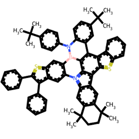 CC(C)(C)c1ccc(N2B3c4cc5sc(-c6ccccc6)c(-c6ccccc6)c5cc4-n4c5cc6c(cc5c5c7sc8ccccc8c7c(c3c54)-c3cc(C(C)(C)C)ccc32)C(C)(C)CCC6(C)C)cc1